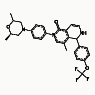 Cc1cn(-c2ccc(N3CC(C)O[C@H](C)C3)cc2)c(=O)c2c1C(c1ccc(OC(F)(F)F)cc1)NC=C2